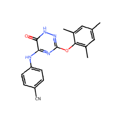 Cc1cc(C)c(Oc2n[nH]c(=O)c(Nc3ccc(C#N)cc3)n2)c(C)c1